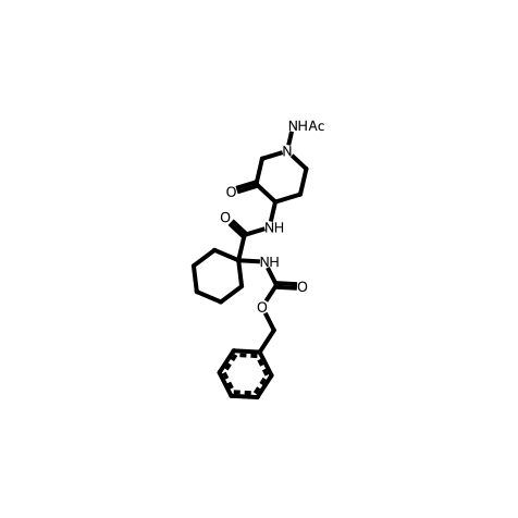 CC(=O)NN1CCC(NC(=O)C2(NC(=O)OCc3ccccc3)CCCCC2)C(=O)C1